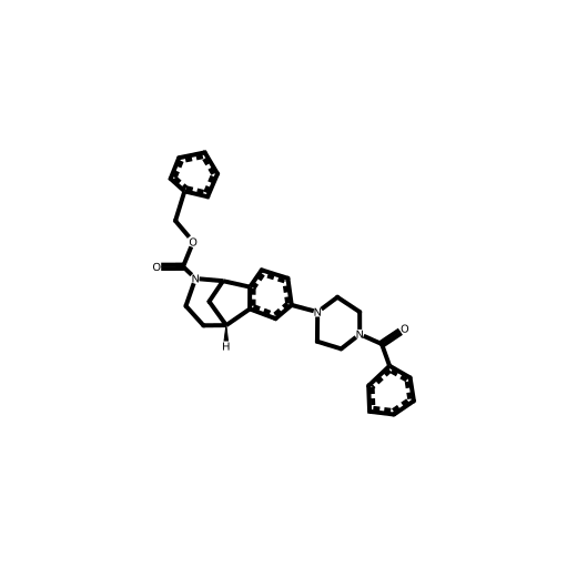 O=C(c1ccccc1)N1CCN(c2ccc3c(c2)[C@@H]2CCN(C(=O)OCc4ccccc4)C3C2)CC1